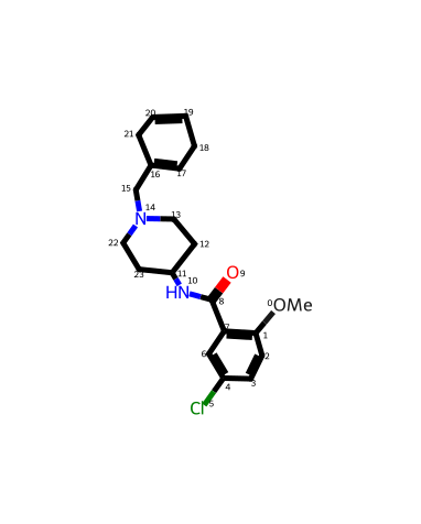 COc1ccc(Cl)cc1C(=O)NC1CCN(CC2=CCC=CC2)CC1